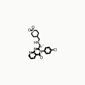 C[C@@H](NCC1CCS(=O)(=O)CC1)c1nc2ncccc2c(=O)n1-c1ccc(Cl)cc1